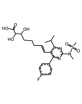 CC(C)c1nc(N(C)S(C)(=O)=O)nc(-c2ccc(F)cc2)c1C=CCCCC(O)C(O)C(=O)O